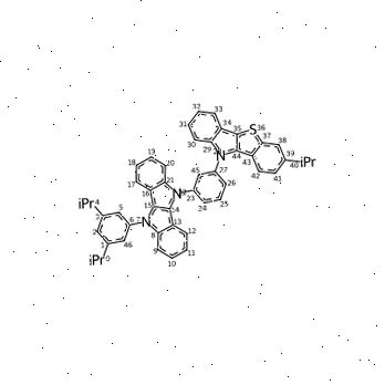 CC(C)c1cc(C(C)C)cc(-n2c3ccccc3c3c2c2ccccc2n3-c2cccc(-n3c4ccccc4c4sc5cc(C(C)C)ccc5c43)c2)c1